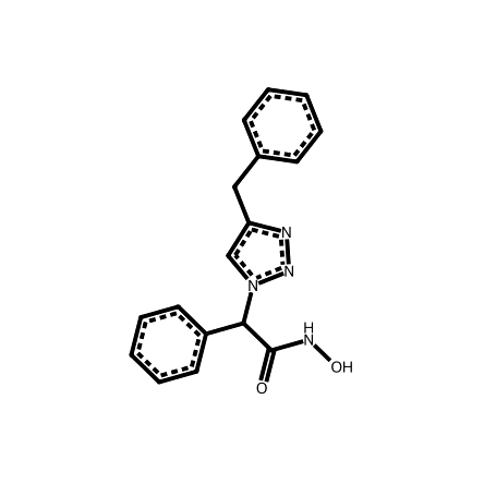 O=C(NO)C(c1ccccc1)n1cc(Cc2ccccc2)nn1